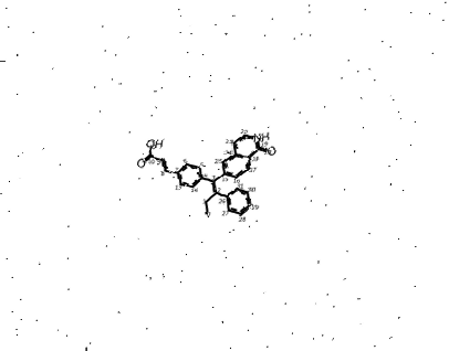 CCC(=C(c1ccc(C=CC(=O)O)cc1)c1ccc2c(=O)[nH]ccc2c1)c1ccccc1